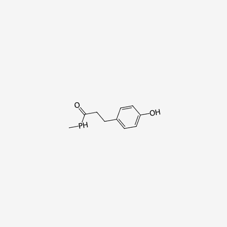 CPC(=O)CCc1ccc(O)cc1